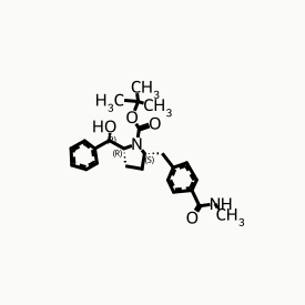 CNC(=O)c1ccc(C[C@@H]2CC[C@H]([C@H](O)c3ccccc3)N2C(=O)OC(C)(C)C)cc1